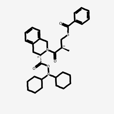 C[C@H](CSC(=O)c1ccccc1)C(=O)N1Cc2ccccc2C[C@H]1C(=O)ON(C1CCCCC1)C1CCCCC1